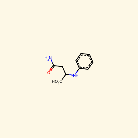 NC(=O)CC(Nc1ccccc1)C(=O)O